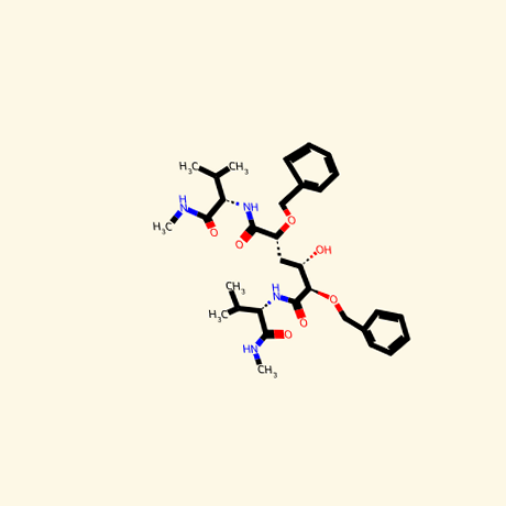 CNC(=O)[C@@H](NC(=O)[C@@H](C[C@H](O)[C@@H](OCc1ccccc1)C(=O)N[C@H](C(=O)NC)C(C)C)OCc1ccccc1)C(C)C